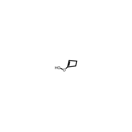 OOC1=CCC1